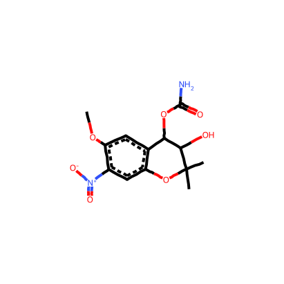 COc1cc2c(cc1[N+](=O)[O-])OC(C)(C)C(O)C2OC(N)=O